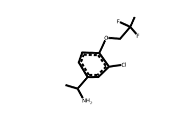 CC(N)c1ccc(OCC(C)(F)F)c(Cl)c1